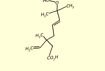 C=CC(C)(C/C=C/C(C)(C)OO)CC(=O)O